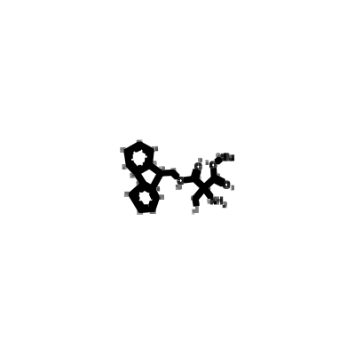 CC(C)(C)OC(=O)C(N)(CI)C(=O)OCC1c2ccccc2-c2ccccc21